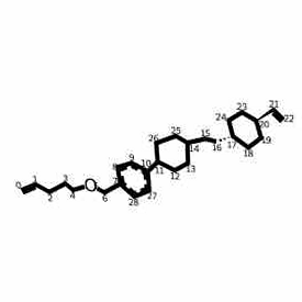 C=CCCCOCc1ccc(C2CCC(CC[C@H]3CC[C@H](C=C)CC3)CC2)cc1